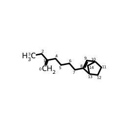 C=C(CC)CCCCC1=CC2CCC1C2